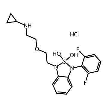 Cl.OS1(O)N(CCOCCNC2CC2)c2ccccc2N1c1c(F)cccc1F